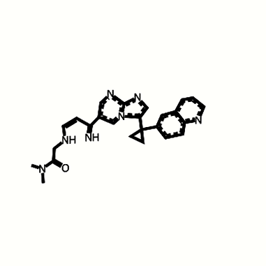 CN(C)C(=O)CN/C=C\C(=N)c1cnc2ncc(C3(c4ccc5ncccc5c4)CC3)n2c1